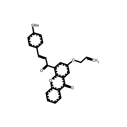 C=CCOc1cc(C(=O)C=Cc2ccc(SC)cc2)c2oc3ccccc3c(=O)c2c1